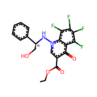 CCOC(=O)c1cn(N[C@@H](CO)c2ccccc2)c2c(F)c(F)c(F)c(F)c2c1=O